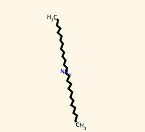 CCCCCCCCCCCCCCCCCCCCCCCCCCCC.N